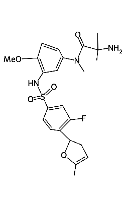 COc1ccc(N(C)C(=O)C(C)(C)N)cc1NS(=O)(=O)c1ccc(C2CC=C(C)O2)c(F)c1